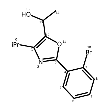 CC(C)c1nc(-c2ccccc2Br)oc1C(C)O